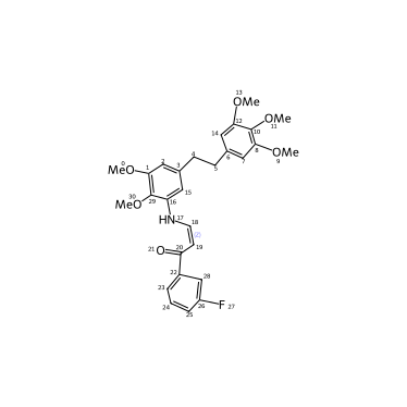 COc1cc(CCc2cc(OC)c(OC)c(OC)c2)cc(N/C=C\C(=O)c2cccc(F)c2)c1OC